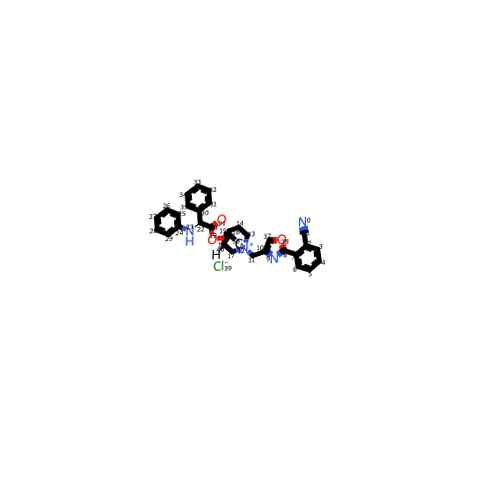 N#Cc1ccccc1-c1nc(C[N+]23CCC(CC2)[C@@H](OC(=O)[C@H](Nc2ccccc2)c2ccccc2)C3)co1.[Cl-]